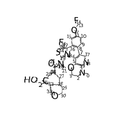 CN1CCOc2cc(-c3ccc(OCF)cc3-c3nc(N(C)C(=O)[C@@H](CC(=O)O)CC4CCOCC4)sc3F)cnc21